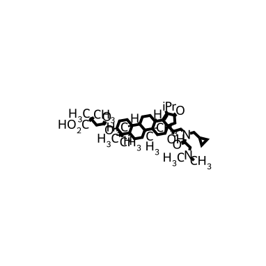 CC(C)C1=C2[C@H]3CC[C@@H]4[C@@]5(C)CC[C@H](OC(=O)CC(C)(C)C(=O)O)C(C)(C)[C@@H]5CC[C@@]4(C)[C@]3(C)CCC2(C(O)CN(CC2CC2)C(=O)CN(C)C)CC1=O